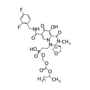 CC(C)OC(=O)OCOP(=O)(O)CCN1n2cc(C(=O)NCc3ccc(F)cc3F)c(=O)c(O)c2C(=O)N(C)[C@@]12CCOC2